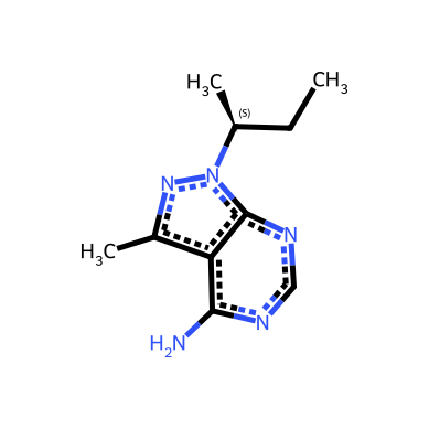 CC[C@H](C)n1nc(C)c2c(N)ncnc21